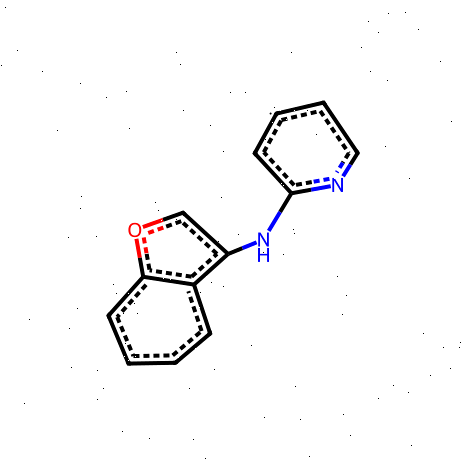 [c]1ccnc(Nc2coc3ccccc23)c1